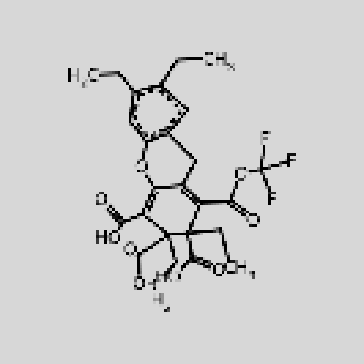 CCc1cc2c(cc1CC)OC1=C(C(=O)O)C(CC)(C(=O)O)C(CC)(C(=O)O)C(C(=O)OC(F)(F)F)=C1C2